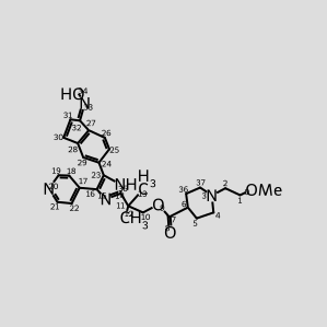 COCCN1CCC(C(=O)OCC(C)(C)c2nc(-c3ccncc3)c(-c3ccc4c(c3)C=CC4=NO)[nH]2)CC1